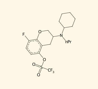 CCCN(C1CCCCC1)C1COc2c(F)ccc(OS(=O)(=O)C(F)(F)F)c2C1